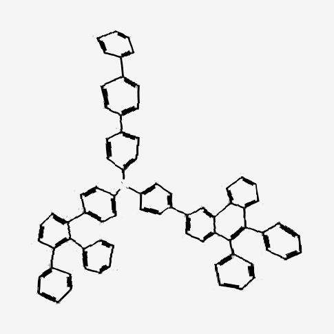 c1ccc(-c2ccc(-c3ccc(N(c4ccc(-c5ccc6c(-c7ccccc7)c(-c7ccccc7)c7ccccc7c6c5)cc4)c4ccc(-c5cccc(-c6ccccc6)c5-c5ccccc5)cc4)cc3)cc2)cc1